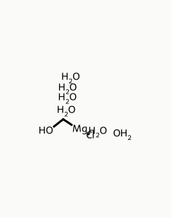 O.O.O.O.O.O.O[CH2][Mg][Cl]